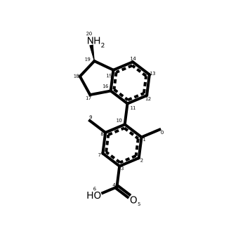 Cc1cc(C(=O)O)cc(C)c1-c1cccc2c1CC[C@H]2N